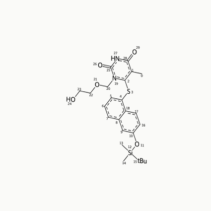 Cc1c(Sc2cccc3cc(O[Si](C)(C)C(C)(C)C)ccc23)n(COCCO)c(=O)[nH]c1=O